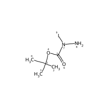 CC(C)(C)OC(=O)N(N)I